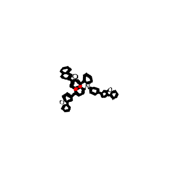 c1ccc(N(c2ccc(-c3ccc4c(c3)oc3ccccc34)cc2)c2ccc(-c3ccc4oc5ccccc5c4c3)cc2)c(-c2cccc3c2oc2c4ccccc4ccc32)c1